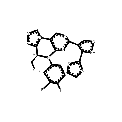 CC[C@H]1c2nncn2-c2cnc(-c3cn[nH]c3-c3nccs3)nc2N1c1ccc(F)c(F)c1